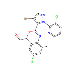 Cc1cc(Cl)cc2c1N=C(c1c(Br)cnn1-c1ncccc1Cl)OC2C=O